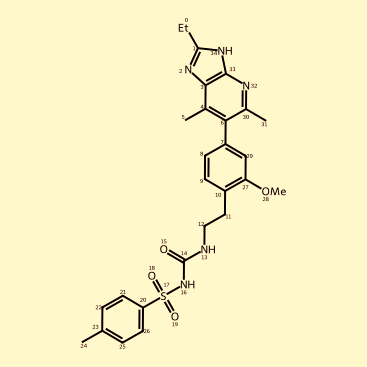 CCc1nc2c(C)c(-c3ccc(CCNC(=O)NS(=O)(=O)c4ccc(C)cc4)c(OC)c3)c(C)nc2[nH]1